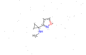 CNC1(c2ccon2)CC1